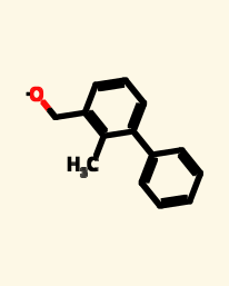 Cc1c(C[O])cccc1-c1ccccc1